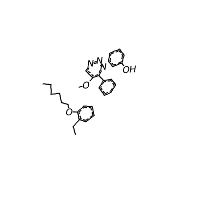 CCCCCCOc1ccccc1CC.COc1cnnnc1-c1ccccc1.Oc1ccccc1